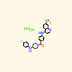 Cl.Cl.O=C(c1ccc(Nc2ccnc3cc(C(F)(F)F)ccc23)cc1)N1CCC(Nc2ccc(F)cc2)CC1